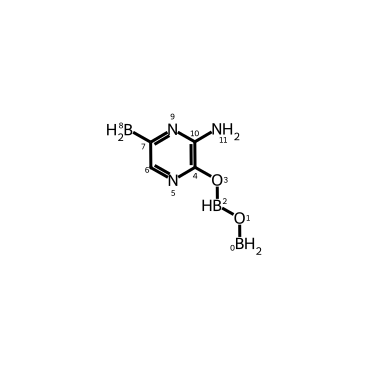 BOBOc1ncc(B)nc1N